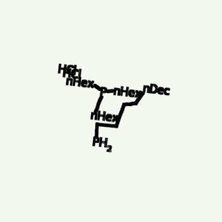 CCCCCCCCCCCCCCP.CCCCCCP(CCCCCC)CCCCCC.Cl.Cl